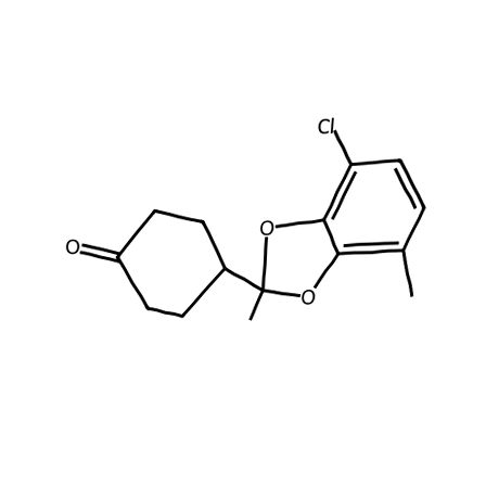 Cc1ccc(Cl)c2c1OC(C)(C1CCC(=O)CC1)O2